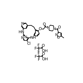 Cc1cc(C(=O)N2CCN(C(=O)COc3ccc4cc3CCc3cncc(c3)Nc3ncc(Cl)c(n3)N4)CC2)no1.O=C(O)C(F)(F)F.O=C(O)C(F)(F)F